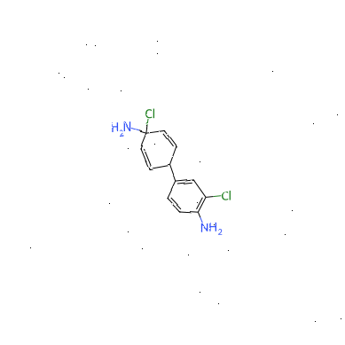 Nc1ccc(C2C=CC(N)(Cl)C=C2)cc1Cl